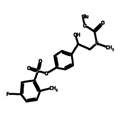 Cc1ccc(F)cc1S(=O)(=O)Oc1ccc(C(O)CN(C)C(=O)OC(C)(C)C)cc1